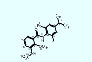 CCc1cc(C(C(F)(F)F)C(F)(F)F)cc(C)c1NC(=O)c1cccc(NC(=O)O)c1OC